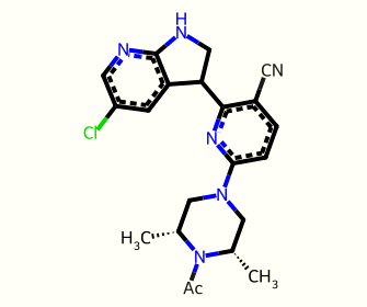 CC(=O)N1[C@H](C)CN(c2ccc(C#N)c(C3CNc4ncc(Cl)cc43)n2)C[C@@H]1C